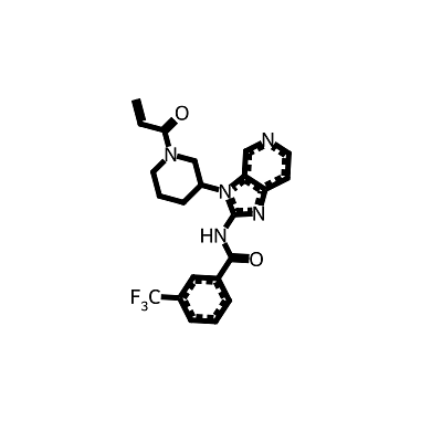 C=CC(=O)N1CCCC(n2c(NC(=O)c3cccc(C(F)(F)F)c3)nc3ccncc32)C1